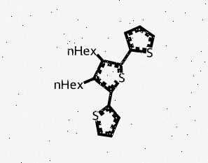 CCCCCCc1c(-c2cccs2)sc(-c2cccs2)c1CCCCCC